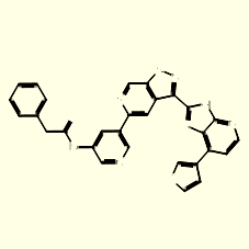 O=C(Cc1ccccc1)Nc1cncc(-c2cc3c(-c4nc5c(-c6ccoc6)ccnc5[nH]4)n[nH]c3cn2)c1